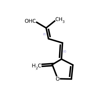 C=c1occ/c1=C/C=C(\C)C=O